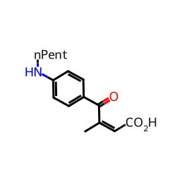 CCCCCNc1ccc(C(=O)/C(C)=C\C(=O)O)cc1